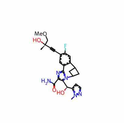 COC[C@@](C)(O)C#Cc1cc2c(cc1F)C1CC(C1)n1c-2nc(C(N)=O)c1[C@H](O)c1ccnn1C